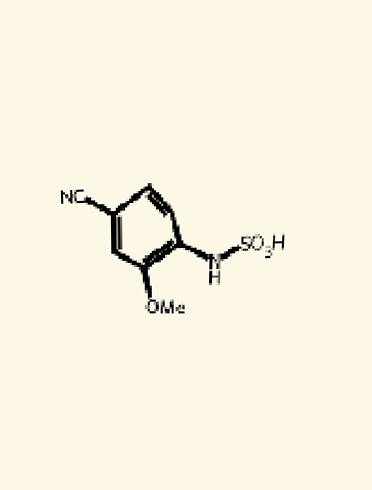 COc1cc(C#N)ccc1NS(=O)(=O)O